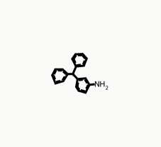 Nc1cccc([C](c2ccccc2)c2ccccc2)c1